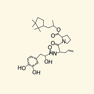 C=CCC(NC(=O)C(O)Cc1ccc(O)c(O)c1)C(=O)N1CCCC1C(=O)OC(C)CC1CCC(C)(C)C1(C)C